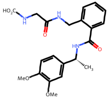 COc1ccc([C@@H](C)NC(=O)c2ccccc2CNC(=O)CNC(=O)O)cc1OC